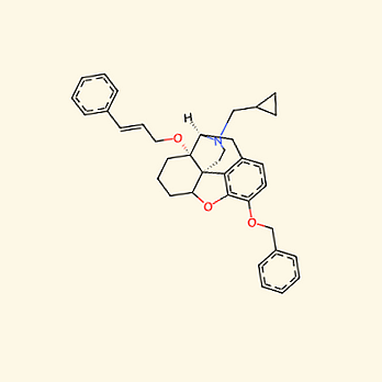 C(=Cc1ccccc1)CO[C@@]12CCCC3Oc4c(OCc5ccccc5)ccc5c4[C@@]31CCN(CC1CC1)[C@@H]2C5